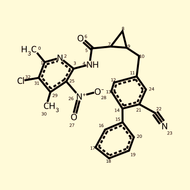 Cc1nc(NC(=O)C2CC2Cc2ccc(-c3ccccc3)c(C#N)c2)c([N+](=O)[O-])c(C)c1Cl